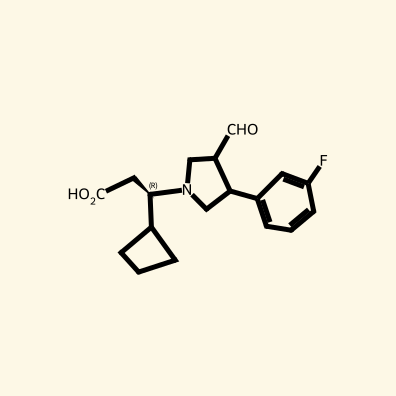 O=CC1CN([C@H](CC(=O)O)C2CCC2)CC1c1cccc(F)c1